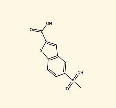 CS(=N)(=O)c1ccc2sc(C(=O)O)cc2c1